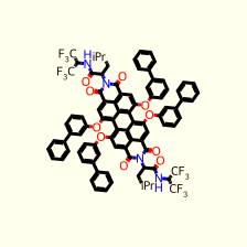 CC(C)CC(C(=O)NC(C(F)(F)F)C(F)(F)F)N1C(=O)c2cc(Oc3cccc(-c4ccccc4)c3)c3c4c(Oc5cccc(-c6ccccc6)c5)cc5c6c(cc(Oc7cccc(-c8ccccc8)c7)c(c7c(Oc8cccc(-c9ccccc9)c8)cc(c2c37)C1=O)c64)C(=O)N(C(CC(C)C)C(=O)NC(C(F)(F)F)C(F)(F)F)C5=O